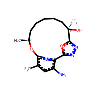 C[C@H]1CCCCC[C@](O)(C(F)(F)F)c2nnc(o2)-c2nc(c(C(F)(F)F)cc2N)O1